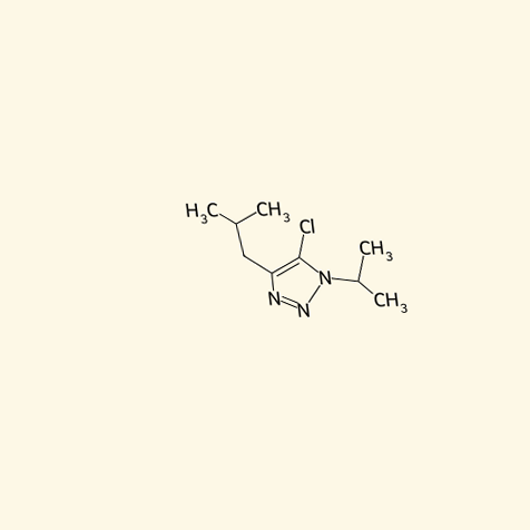 CC(C)Cc1nnn(C(C)C)c1Cl